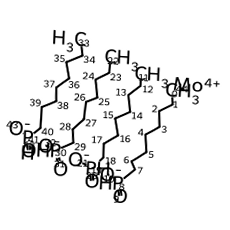 CCCCCCCC[PH](=O)[O-].CCCCCCCC[PH](=O)[O-].CCCCCCCC[PH](=O)[O-].CCCCCCCC[PH](=O)[O-].[Mo+4]